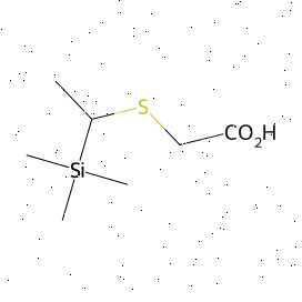 CC(SCC(=O)O)[Si](C)(C)C